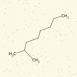 [CH2]C(C)CCCCCC